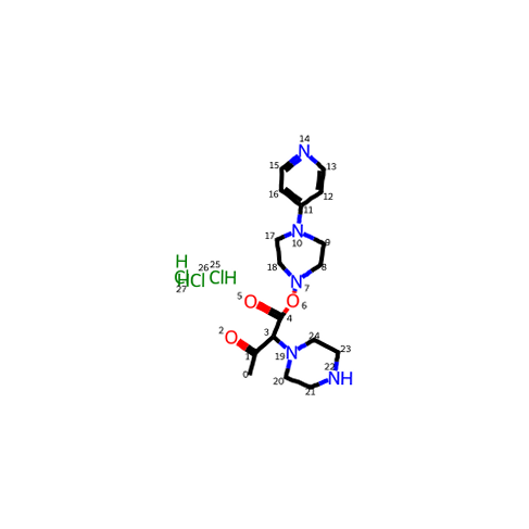 CC(=O)C(C(=O)ON1CCN(c2ccncc2)CC1)N1CCNCC1.Cl.Cl.Cl